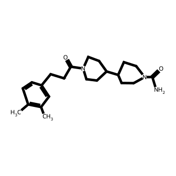 Cc1ccc(C[CH]C(=O)N2CCC(C3CCN(C(N)=O)CC3)CC2)cc1C